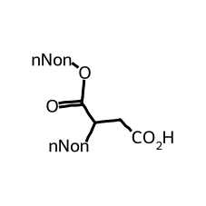 CCCCCCCCCOC(=O)C(CCCCCCCCC)CC(=O)O